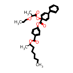 CCCCCC[C@@H](C)OC(=O)c1ccc(OC(=O)C2(OC(=O)[C@H](C)OCCC)C=CC(c3ccccc3)C=C2)cc1